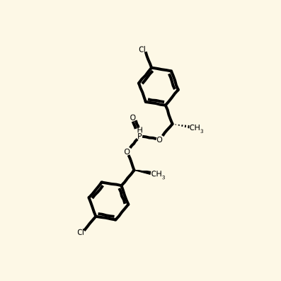 C[C@H](O[PH](=O)O[C@@H](C)c1ccc(Cl)cc1)c1ccc(Cl)cc1